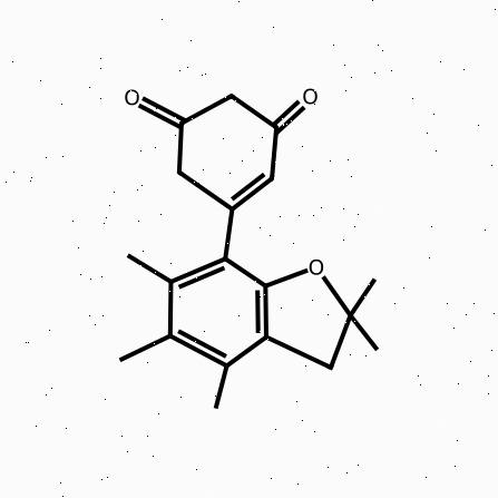 Cc1c(C)c2c(c(C3=CC(=O)CC(=O)C3)c1C)OC(C)(C)C2